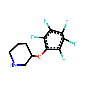 Fc1c(F)c(F)c(OC2CCCNC2)c(F)c1F